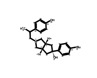 CC(CN1C[C@@H]2C[C@@](O)(c3ccc(C(C)(C)C)cc3)C[C@@H]2C1)c1ccc(O)cc1